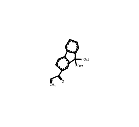 C=CC(=O)c1ccc2c(c1)C(CCCCCCCC)(CCCCCCCC)c1ccccc1-2